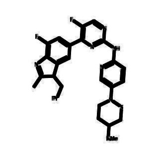 CNC1CCN(c2ccc(Nc3ncc(F)c(-c4cc(F)c5c(c4)C(CC(C)C)C(C)=N5)n3)nc2)SC1